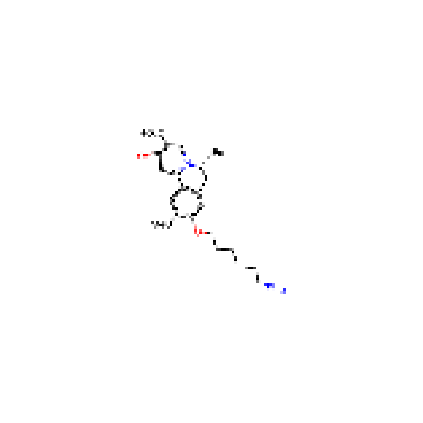 COc1cc2c(cc1OCCCCCCN)C[C@@H](C(C)(C)C)n1cc(C(=O)O)c(=O)cc1-2